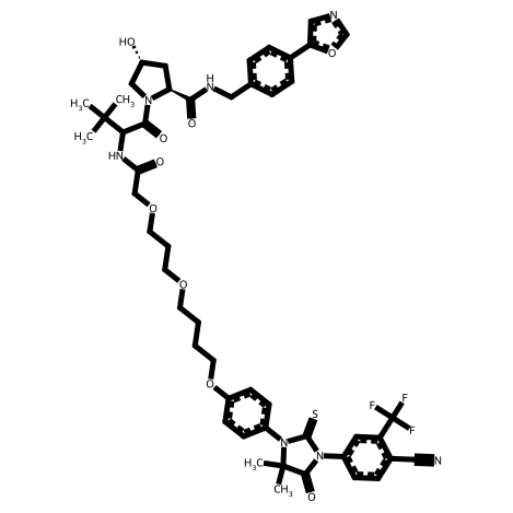 CC(C)(C)C(NC(=O)COCCCOCCCCOc1ccc(N2C(=S)N(c3ccc(C#N)c(C(F)(F)F)c3)C(=O)C2(C)C)cc1)C(=O)N1C[C@H](O)C[C@H]1C(=O)NCc1ccc(-c2cnco2)cc1